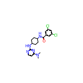 CN(C)c1ccnc(NC2CCC(NC(=O)c3cc(Cl)cc(Cl)c3)CC2)n1